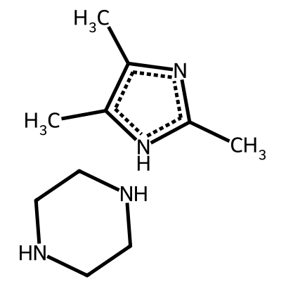 C1CNCCN1.Cc1nc(C)c(C)[nH]1